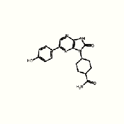 NC(=O)C1CCC(n2c(=O)[nH]c3ncc(-c4ccc(O)cc4)nc32)CC1